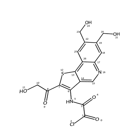 O=C(Cl)C(=O)Nc1c(C(=O)CO)sc2c1cnc1cc(CO)c(CO)cc12